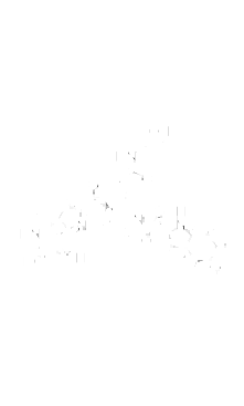 CCOC(=O)CNC(=O)CC1CN(S(=O)(=O)c2cc3cc(Cl)ccc3[nH]2)CCN1C(=O)c1nc2c(s1)CNC(C)C2C